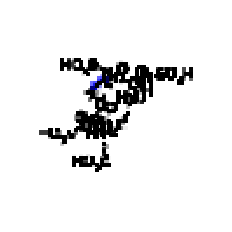 C=C(/C=C/C=C1/N(CCCS(=O)(=O)O)c2c(cc(-c3cc(C(=O)NCCCCCC(=O)O)nc(C(=O)NCCS(=O)(=O)O)c3)c3ccccc23)C1(C)C)C(C)(C)c1cc(-c2cc(C(=O)NCCCCCC(=O)O)nc(C(=O)NCCS(=O)(=O)O)c2)c2ccccc2c1C